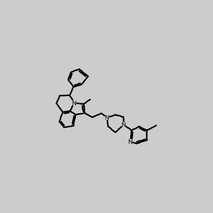 Cc1ccnc(N2CCN(CCc3c(C)n4c5c(cccc35)CCC4c3ccccc3)CC2)c1